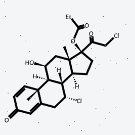 CCC(=O)O[C@@]1(C(=O)CCl)CC[C@H]2[C@H]3[C@H]([C@@H](O)C[C@@]21C)[C@@]1(C)C=CC(=O)C=C1C[C@H]3Cl